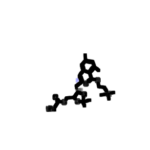 Cc1cc(C)c(C(=O)OCC[Si](C)(C)C)c(/C=C/C[C@@H]2OC(C)(C)OC2COC(=O)C(C)(C)C)c1